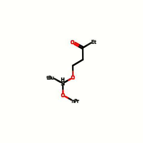 CCCO[SiH](OCCC(=O)CC)C(C)(C)C